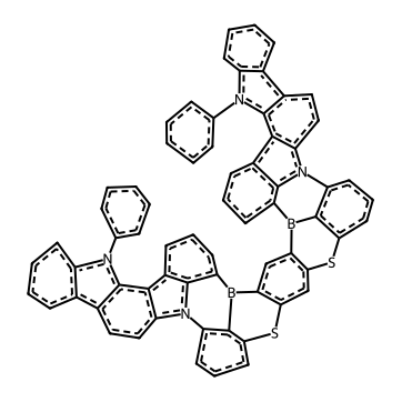 c1ccc(-n2c3ccccc3c3ccc4c(c5cccc6c5n4-c4cccc5c4B6c4cc6c(cc4S5)Sc4cccc5c4B6c4cccc6c7c(ccc8c9ccccc9n(-c9ccccc9)c87)n-5c46)c32)cc1